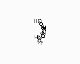 Cc1ccc(Nc2cccc3nc(-c4cn(-c5ccc(O)cc5)nn4)ccc23)cc1F